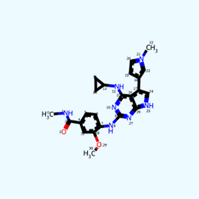 CNC(=O)c1ccc(Nc2nc(NC3CC3)c3c(-c4ccn(C)c4)c[nH]c3n2)c(OC)c1